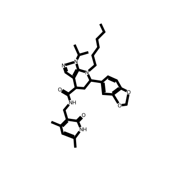 CCCCCCN1c2c(cnn2C(C)C)C(C(=O)NCc2c(C)cc(C)[nH]c2=O)CC1c1ccc2c(c1)OCO2